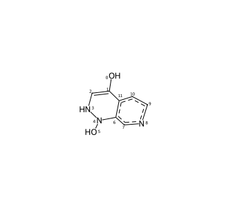 OC1=CNN(O)c2cnccc21